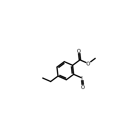 CCc1ccc(C(=O)OC)c(I=O)c1